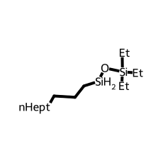 CCCCCCCCCC[SiH2]O[Si](CC)(CC)CC